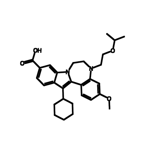 COc1ccc2c(c1)N(CCOC(C)C)CCn1c-2c(C2CCCCC2)c2ccc(C(=O)O)cc21